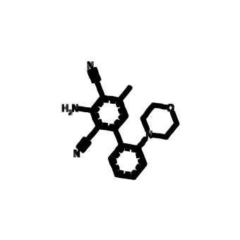 Cc1cc(-c2ccccc2N2CCOCC2)c(C#N)c(N)c1C#N